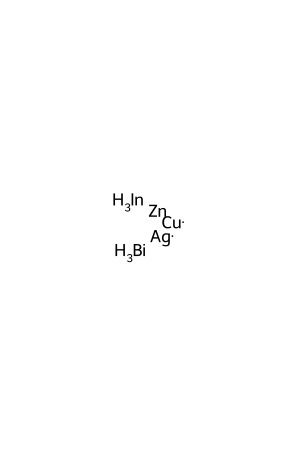 [Ag].[BiH3].[Cu].[InH3].[Zn]